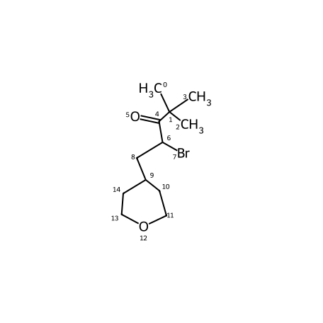 CC(C)(C)C(=O)C(Br)CC1CCOCC1